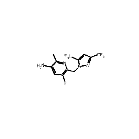 Cc1nc(Cn2nc(C(F)(F)F)cc2C(F)(F)F)c(F)cc1N